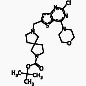 CC(C)(C)OC(=O)N1CCC2(CCN(Cc3cc4nc(Cl)nc(N5CCOCC5)c4s3)C2)C1